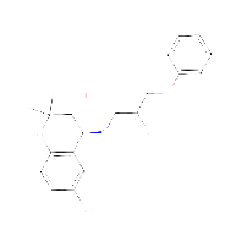 CC1(C)Oc2ccc(C#N)cc2[C@H](NCC(O)COc2ccccc2)[C@H]1O